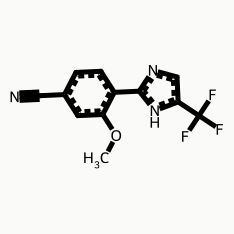 COc1cc(C#N)ccc1-c1ncc(C(F)(F)F)[nH]1